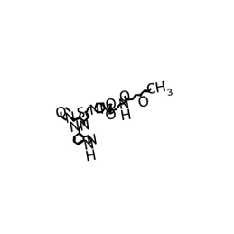 CC=CC(=O)CCC(=O)NCCS(=O)(=O)N1CCN(Cc2cc3nc(-c4cccc5[nH]ncc45)nc(N4CCOCC4)c3s2)CC1